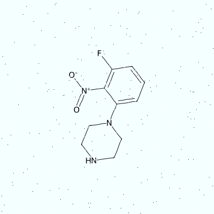 O=[N+]([O-])c1c(F)cccc1N1CCNCC1